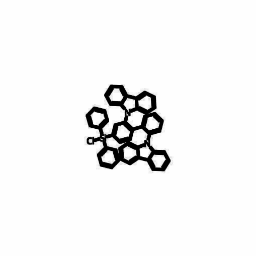 Cl[Si](c1ccccc1)(c1ccccc1)c1ccc(-c2ccccc2-n2c3ccccc3c3ccccc32)c(-n2c3ccccc3c3ccccc32)c1